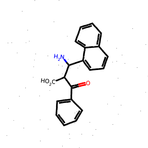 NC(c1cccc2ccccc12)C(C(=O)O)C(=O)c1ccccc1